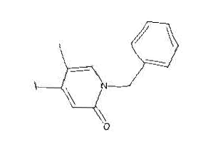 Cc1cn(Cc2ccccc2)c(=O)cc1I